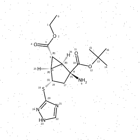 CCOC(=O)[C@H]1[C@H]2[C@@H]1[C@](N)(C(=O)OC(C)(C)C)C[C@@H]2Sc1nc[nH]n1